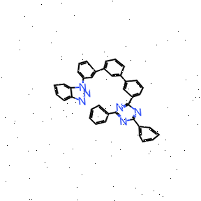 c1ccc(-c2nc(-c3ccccc3)nc(-c3cccc(-c4cccc(-c5cccc(-n6nnc7ccccc76)c5)c4)c3)n2)cc1